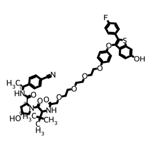 C[C@H](NC(=O)[C@@H]1C[C@@H](O)CN1C(=O)C(NC(=O)COCCOCCOCCOc1ccc(Oc2c(-c3ccc(F)cc3)sc3cc(O)ccc23)cc1)C(C)(C)C)c1ccc(C#N)cc1